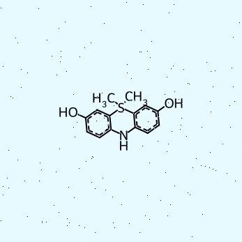 CS1(C)c2cc(O)ccc2Nc2ccc(O)cc21